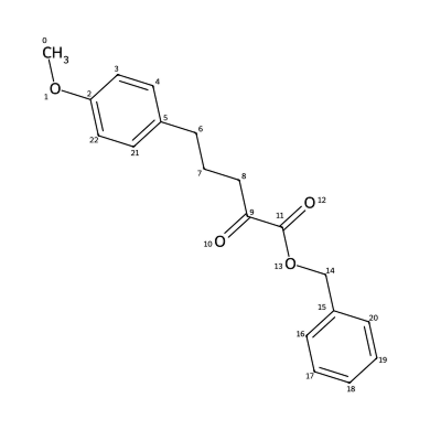 COc1ccc(CCCC(=O)C(=O)OCc2ccccc2)cc1